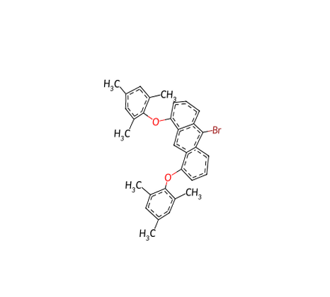 Cc1cc(C)c(Oc2cccc3c(Br)c4cccc(Oc5c(C)cc(C)cc5C)c4cc23)c(C)c1